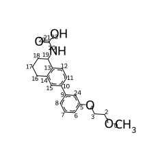 COCCOc1cccc(-c2ccc3c(c2)CCCC3NC(=O)O)c1